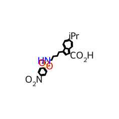 CC(C)c1ccc2c(CCCCNS(=O)(=O)c3ccc([N+](=O)[O-])cc3)cc(C(=O)O)c-2cc1